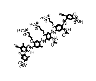 CC(=O)Nc1cc(N=Nc2cc(SCCCS(=O)(=O)O)c(N=Nc3cc(OCCCS(=O)(=O)O)c(N=Nc4c(C)c(C#N)c5nc6cc(S(=O)(=O)O)cc(C)c6n5c4O)cc3C)cc2NC(C)=O)c(SCCCS(=O)(=O)O)cc1N=Nc1cc(S(=O)(=O)O)c(Cl)cc1C#N